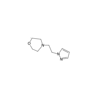 [CH]1CN(CCn2cccn2)CCO1